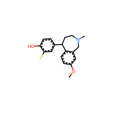 COc1ccc2c(c1)CN(C)CCC2c1ccc(O)c(F)c1